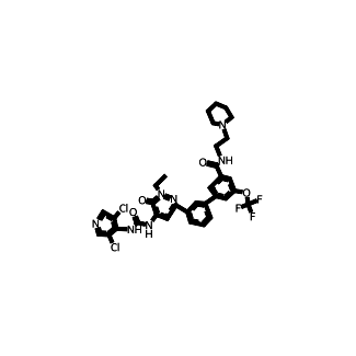 CCn1nc(-c2cccc(-c3cc(OC(F)(F)F)cc(C(=O)NCCN4CCCCC4)c3)c2)cc(NC(=O)Nc2c(Cl)cncc2Cl)c1=O